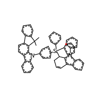 CC1(C)c2ccccc2-c2ccc3c4ccccc4n(-c4ccc([Si](c5ccccc5)(c5ccccc5)C5CC=Cc6c5n(-c5ccccc5)c5ccccc65)cc4)c3c21